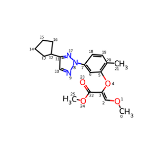 CO/C=C(\Oc1cc(-n2ncc(C3CCCC3)n2)ccc1C)C(=O)OC